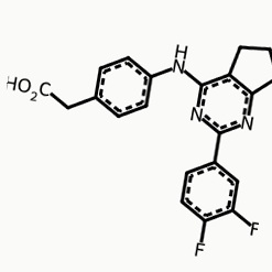 O=C(O)Cc1ccc(Nc2nc(-c3ccc(F)c(F)c3)nc3c2CCC3)cc1